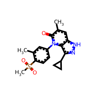 Cc1cc(-n2c(=O)c(C)cc3[nH]nc(C4CC4)c32)ccc1S(C)(=O)=O